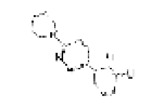 Clc1cccc(-c2ccc(N3CCCCC3)nn2)c1Cl